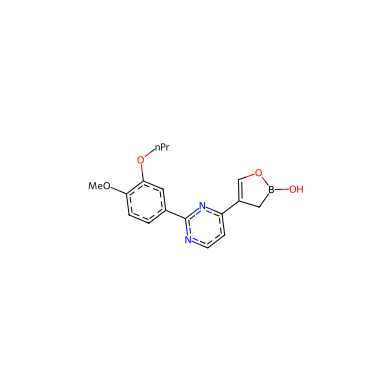 CCCOc1cc(-c2nccc(C3=COB(O)C3)n2)ccc1OC